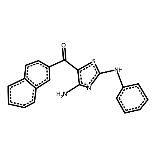 Nc1nc(Nc2ccccc2)sc1C(=O)c1ccc2ccccc2c1